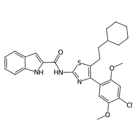 COc1cc(-c2nc(NC(=O)c3cc4ccccc4[nH]3)sc2CCC2CCCCC2)c(OC)cc1Cl